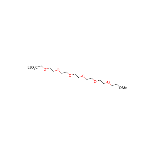 CCOC(=O)COCCOCCOCCOCCOCCOCCOC